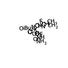 C=C(C)c1cnc(N2CCc3nn(-c4c(C)cccc4OCC(C)C)c(-c4ccc(NC(N)=O)c(F)c4)c3C2)c(F)c1